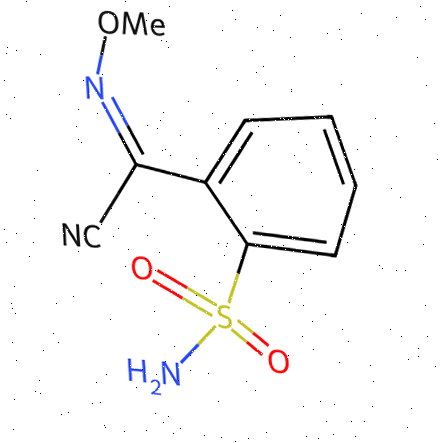 CO/N=C(/C#N)c1ccccc1S(N)(=O)=O